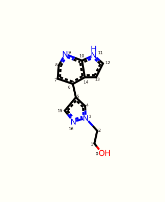 OCCn1cc(-c2ccnc3[nH]ccc23)cn1